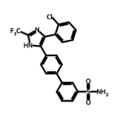 NS(=O)(=O)c1cccc(-c2ccc(-c3[nH]c(C(F)(F)F)nc3-c3ccccc3Cl)cc2)c1